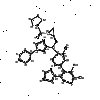 O=C([C@@H]1C[C@H]1CC(c1ccc(-c2c(-n3cnnn3)ccc(Cl)c2F)c[n+]1[O-])n1cc(-c2ccncc2)cn1)N1CCCC1